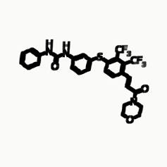 O=C(Nc1ccccc1)Nc1cccc(Sc2ccc(C=CC(=O)N3CCOCC3)c(C(F)(F)F)c2C(F)(F)F)c1